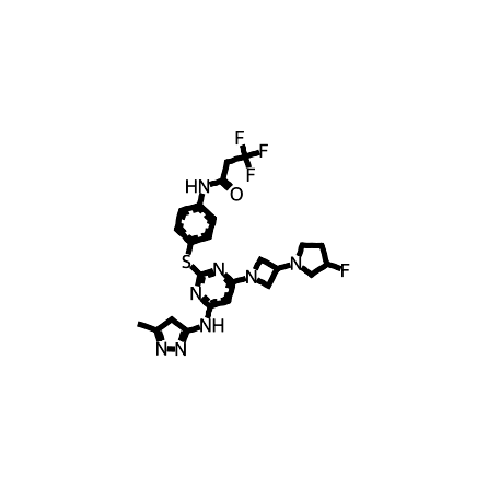 CC1=NN=C(Nc2cc(N3CC(N4CCC(F)C4)C3)nc(Sc3ccc(NC(=O)CC(F)(F)F)cc3)n2)C1